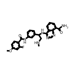 CNCC(Nc1ncnc2c(C(N)=O)cccc12)c1cccc(NC(=O)c2ccc(OC)cc2F)c1